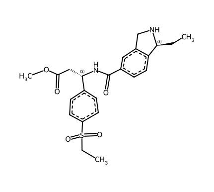 CC[C@@H]1NCc2cc(C(=O)N[C@@H](CC(=O)OC)c3ccc(S(=O)(=O)CC)cc3)ccc21